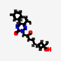 CC(C)c1nn(CC(=O)CCC[C@H]2C[C@@](C)(O)C2)c(=O)nc1-c1ccccc1